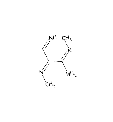 C/N=C(C=N)\C(N)=N/C